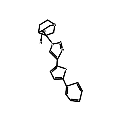 c1ccc(-c2ccc(-c3cn([C@H]4CN5CCC4CC5)nn3)s2)cc1